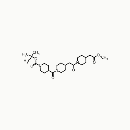 COC(=O)CC1CCN(C(=O)CC2CCN(C(=O)C3CCN(C(=O)OC(C)(C)C)CC3)CC2)CC1